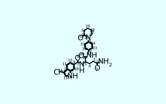 NC(=O)CCC(NC(=O)c1ccc2c(Cl)c[nH]c2c1)C(=O)Nc1ccc(N2CCCCC2=O)cc1